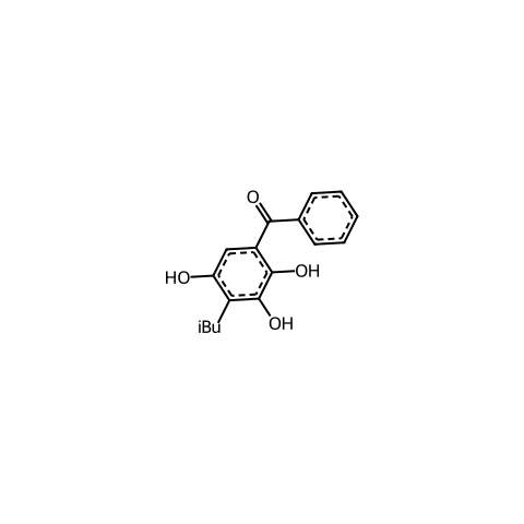 CCC(C)c1c(O)cc(C(=O)c2ccccc2)c(O)c1O